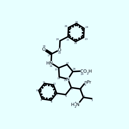 CCCC(C(C)N)C(Cc1ccccc1)N1CC(NC(=O)OCc2ccccc2)CC1C(=O)O